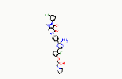 Cc1c(C(=O)Nc2ccc(-c3nc(-c4cccc(OCC(O)CN5CCCC5)c4F)cnc3N)cc2)c(=O)n(-c2cccc(Cl)c2)n1C